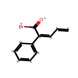 C=CC=C(C(=O)Br)c1ccccc1